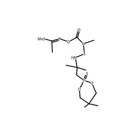 CSC(C)=NOC(=O)N(C)SNC(C)(C)CP1(=S)OCC(C)(C)CO1